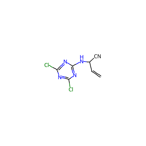 C=CC(C#N)Nc1nc(Cl)nc(Cl)n1